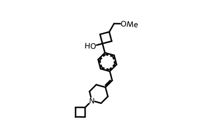 COCC1CC(O)(c2ccc(C=C3CCN(C4CCC4)CC3)cc2)C1